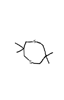 CC1(C)CSCC(C)(C)CSC1